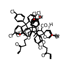 C=CC(=O)CCOCC(C(C)(C)C(COCCC(=O)C=C)C1(C(C(=O)O)C(c2ccc(Cl)cc2)(c2ccc(Cl)cc2)c2ccc(Cl)cc2)Oc2c(Br)cc1cc2Br)C1(C(C(=O)O)C(c2ccc(Cl)cc2)(c2ccc(Cl)cc2)c2ccc(Cl)cc2)Oc2c(Br)cc1cc2Br